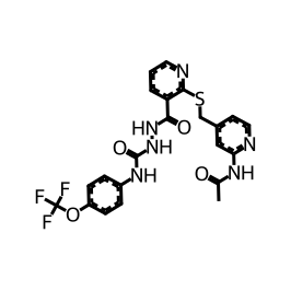 CC(=O)Nc1cc(CSc2ncccc2C(=O)NNC(=O)Nc2ccc(OC(F)(F)F)cc2)ccn1